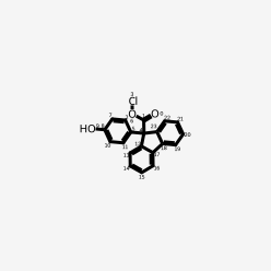 O=C(OCl)C1(c2ccc(O)cc2)c2ccccc2-c2ccccc21